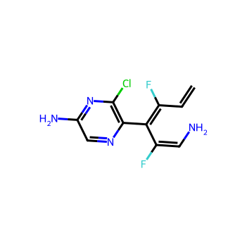 C=C/C(F)=C(\C(F)=C/N)c1ncc(N)nc1Cl